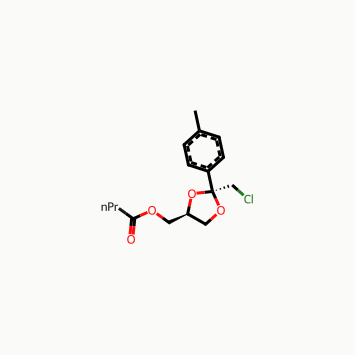 CCCC(=O)OC[C@@H]1CO[C@](CCl)(c2ccc(C)cc2)O1